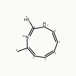 Cc1ccccc[nH]c(S)n1